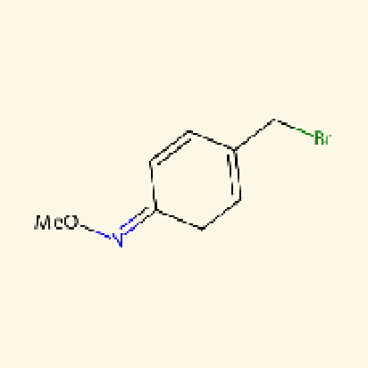 CON=C1C=CC(CBr)=CC1